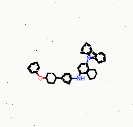 c1ccc(OC2CCC(c3ccc(Nc4ccc(-n5c6ccccc6c6ccccc65)c5c4CCCC5)cc3)CC2)cc1